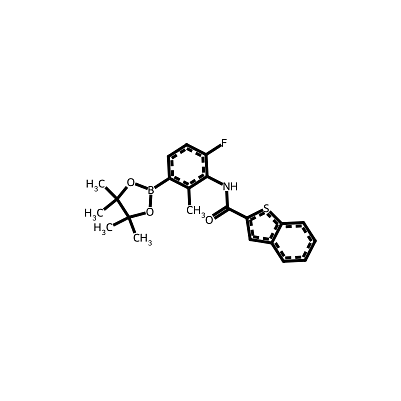 Cc1c(B2OC(C)(C)C(C)(C)O2)ccc(F)c1NC(=O)c1cc2ccccc2s1